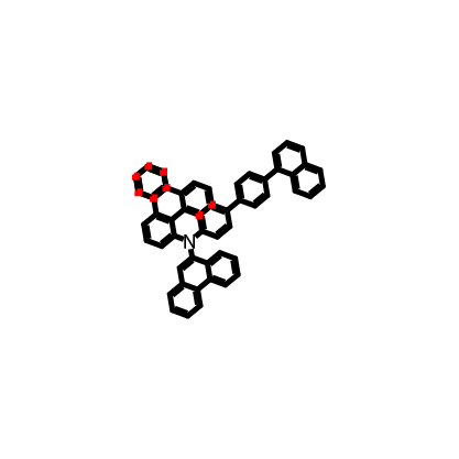 c1ccc(-c2ccccc2-c2c(-c3ccccc3)cccc2N(c2ccc(-c3ccc(-c4cccc5ccccc45)cc3)cc2)c2cc3ccccc3c3ccccc23)cc1